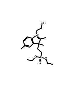 CCOP(=O)(CCC1(C)C(C)=[N+](CCO)c2ccc(C)cc21)OCC